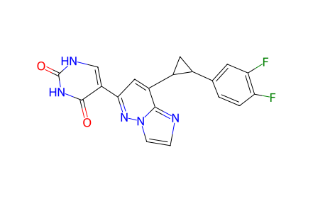 O=c1[nH]cc(-c2cc(C3CC3c3ccc(F)c(F)c3)c3nccn3n2)c(=O)[nH]1